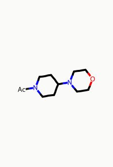 CC(=O)N1CCC(N2CCOCC2)CC1